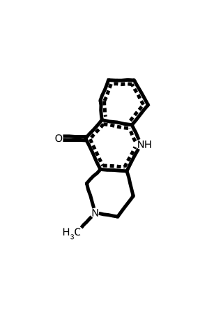 CN1CCc2[nH]c3ccccc3c(=O)c2C1